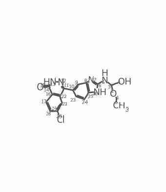 CCOC(O)Nc1nc2cc(-c3n[nH]c(=O)c4ccc(Cl)cc34)ccc2[nH]1